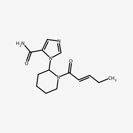 CCC=CC(=O)N1CCCCC1n1cncc1C(N)=O